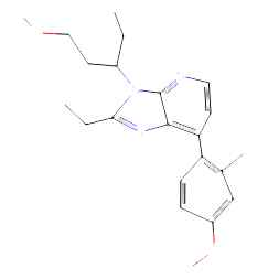 CCc1nc2c(-c3ccc(OC)cc3Cl)ccnc2n1C(CC)CCOC